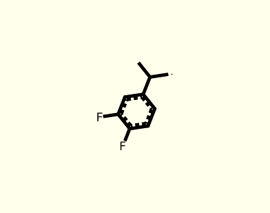 [CH2]C(C)c1ccc(F)c(F)c1